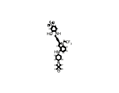 CS(=O)(=O)c1ccc(NCC#Cc2cc3c(N[C@H]4CC[C@H](N5CC6(COC6)C5)CC4)cccc3n2CC(F)(F)F)c(O)c1